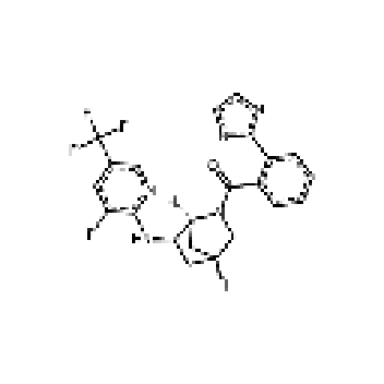 O=C(c1ccccc1-n1nccn1)N1C[C@@H]2C[C@@H](Nc3ncc(C(F)(F)F)cc3F)[C@@H]1C2